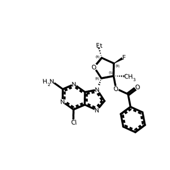 CC[C@H]1O[C@@H](n2cnc3c(Cl)nc(N)nc32)[C@](C)(OC(=O)c2ccccc2)[C@@H]1F